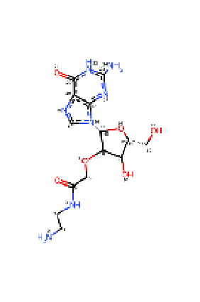 NCCNC(=O)COC1C(O)[C@@H](CO)O[C@H]1n1cnc2c(=O)[nH]c(N)nc21